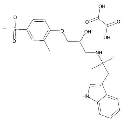 Cc1cc(S(C)(=O)=O)ccc1OCC(O)CNC(C)(C)Cc1c[nH]c2ccccc12.O=C(O)C(=O)O